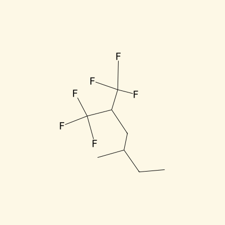 CCC(C)CC(C(F)(F)F)C(F)(F)F